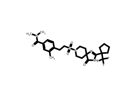 Cc1cc(C(=O)N(C)C)ccc1CCS(=O)(=O)N1CCC2(CC1)N=C(C1(C(F)(F)F)CCCC1)NC2=O